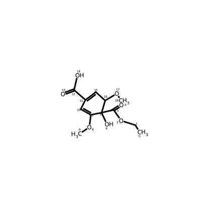 CCOC(=O)C1(O)C(OC)=CC(C(=O)O)=CC1OC